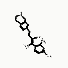 C/C(CCc1ccc2c(c1)CNCC2)=C(/N)c1ccc(C)nc1C